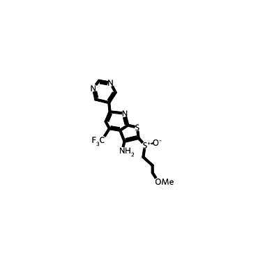 COCCC[S@@+]([O-])c1sc2nc(-c3cncnc3)cc(C(F)(F)F)c2c1N